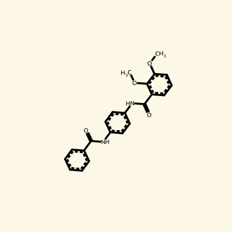 COc1cccc(C(=O)Nc2ccc(NC(=O)c3ccccc3)cc2)c1OC